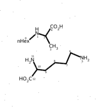 CCCCCCNC(C)C(=O)O.NCCCCC(N)C(=O)O